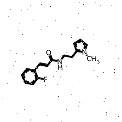 Cn1cccc1CCNC(=O)C=Cc1ccccc1F